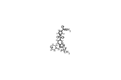 CC(F)(F)c1nc2cc(S(=O)(=O)n3ccc(C(N)=O)c3)ccc2n1CC1CCOCC1